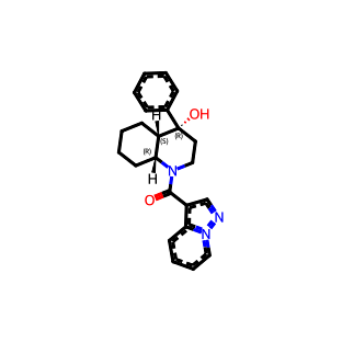 O=C(c1cnn2ccccc12)N1CC[C@](O)(c2ccccc2)[C@H]2CCCC[C@H]21